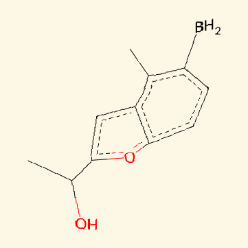 Bc1ccc2oc(C(C)O)cc2c1C